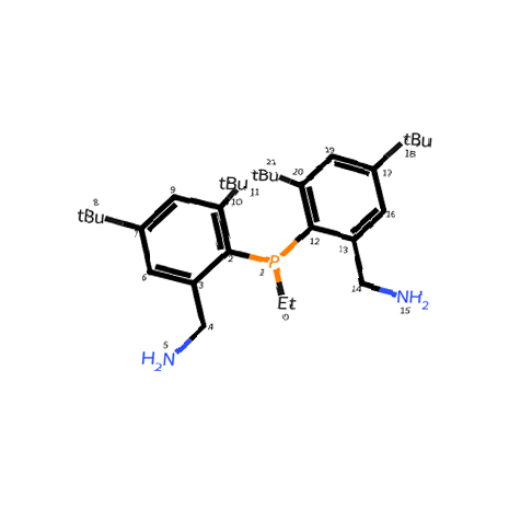 CCP(c1c(CN)cc(C(C)(C)C)cc1C(C)(C)C)c1c(CN)cc(C(C)(C)C)cc1C(C)(C)C